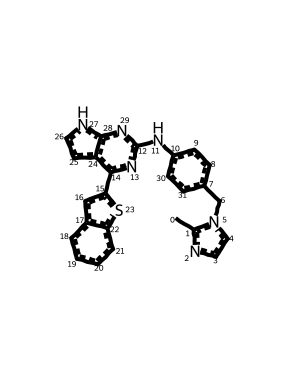 Cc1nccn1Cc1ccc(Nc2nc(-c3cc4ccccc4s3)c3cc[nH]c3n2)cc1